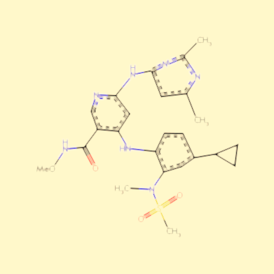 CONC(=O)c1cnc(Nc2cc(C)nc(C)n2)cc1Nc1ccc(C2CC2)cc1N(C)S(C)(=O)=O